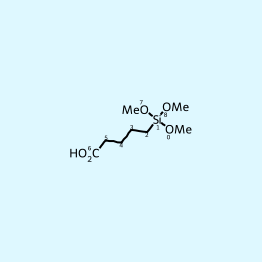 CO[Si](CCCCC(=O)O)(OC)OC